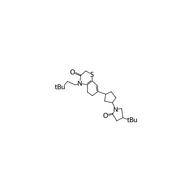 CC(C)(C)CCN1C(=O)CSC2=C1CCC(C1CCC(N3CC(C(C)(C)C)CC3=O)C1)=C2